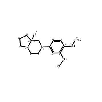 CC(C)Oc1cc(N2CCN3CCC[C@@H]3C2)ccc1NC=O